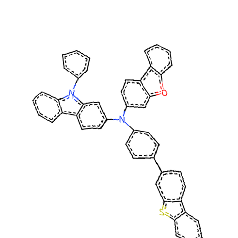 c1ccc(-n2c3ccccc3c3ccc(N(c4ccc(-c5ccc6c(c5)sc5ccccc56)cc4)c4ccc5c(c4)oc4ccccc45)cc32)cc1